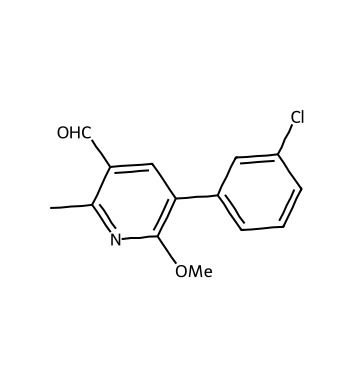 COc1nc(C)c(C=O)cc1-c1cccc(Cl)c1